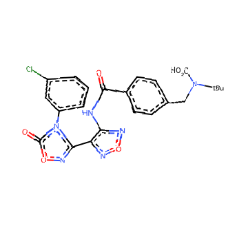 CC(C)(C)N(Cc1ccc(C(=O)Nc2nonc2-c2noc(=O)n2-c2cccc(Cl)c2)cc1)C(=O)O